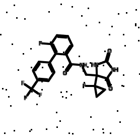 O=C1NC(=O)C(CNC(=O)c2cccc(F)c2-c2ccc(C(F)(F)F)cc2)(C2(F)CC2)N1